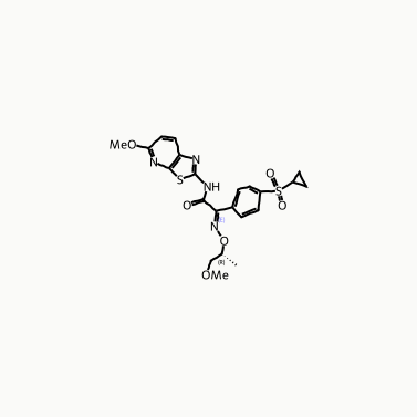 COC[C@@H](C)O/N=C(/C(=O)Nc1nc2ccc(OC)nc2s1)c1ccc(S(=O)(=O)C2CC2)cc1